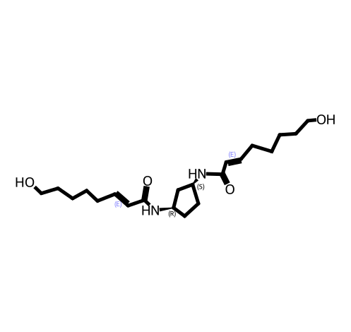 O=C(/C=C/CCCCCO)N[C@@H]1CC[C@H](NC(=O)/C=C/CCCCCO)C1